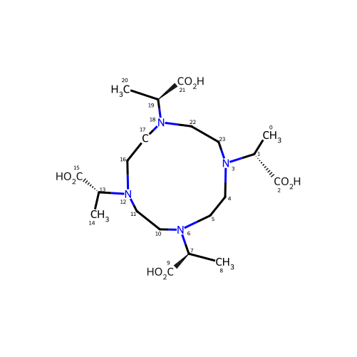 C[C@H](C(=O)O)N1CCN([C@@H](C)C(=O)O)CCN([C@H](C)C(=O)O)CCN([C@@H](C)C(=O)O)CC1